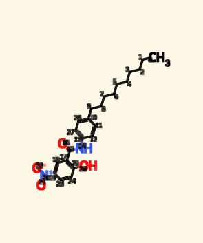 CCCCCCCCCCc1ccc(NC(=O)c2cc([N+](=O)[O-])ccc2O)cc1